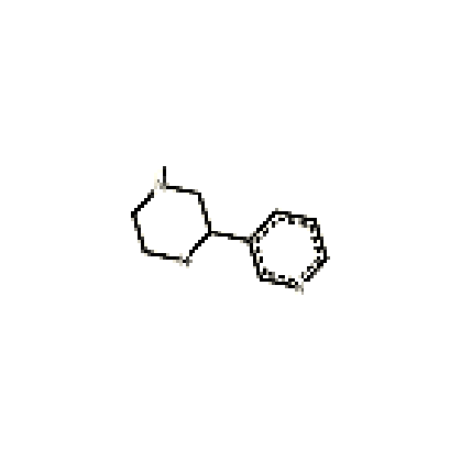 c1cncc(C2CNCC[N]2)c1